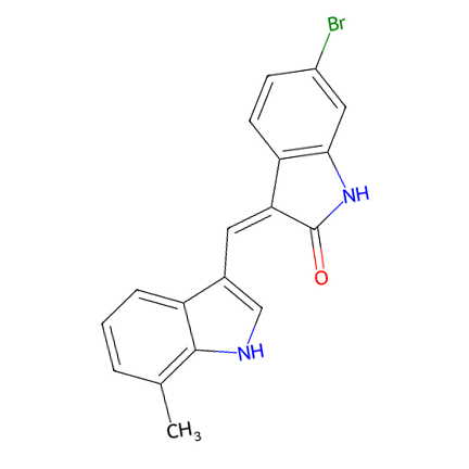 Cc1cccc2c(C=C3C(=O)Nc4cc(Br)ccc43)c[nH]c12